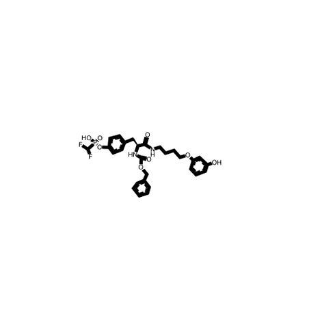 O=C(N[C@@H](Cc1ccc(OP(=O)(O)C(F)F)cc1)C(=O)NCCCCOc1cccc(O)c1)OCc1ccccc1